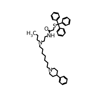 CCCN(CCCCCCCN1CCC(c2ccccc2)CC1)CCNC(=O)CSC(c1ccccc1)(c1ccccc1)c1ccccc1